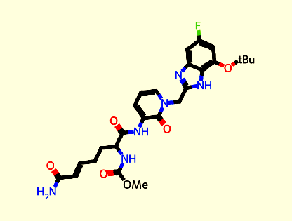 COC(=O)NC(CC/C=C/C(N)=O)C(=O)Nc1cccn(Cc2nc3cc(F)cc(OC(C)(C)C)c3[nH]2)c1=O